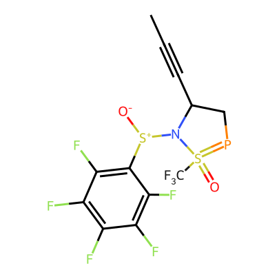 CC#CC1CP=S(=O)(C(F)(F)F)N1[S+]([O-])c1c(F)c(F)c(F)c(F)c1F